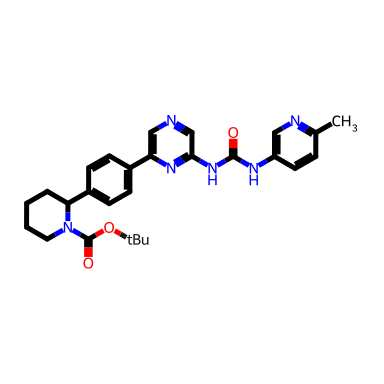 Cc1ccc(NC(=O)Nc2cncc(-c3ccc(C4CCCCN4C(=O)OC(C)(C)C)cc3)n2)cn1